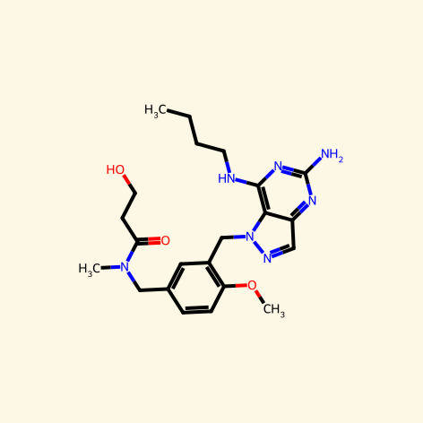 CCCCNc1nc(N)nc2cnn(Cc3cc(CN(C)C(=O)CCO)ccc3OC)c12